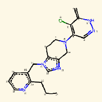 C=C1NN=CC(N2CCc3c(ncn3Cc3cccnc3CCC)C2)=C1Cl